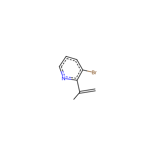 C=C(C)c1ncccc1Br